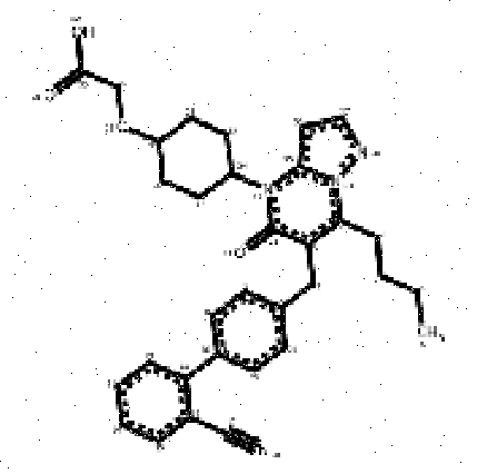 CCCCc1c(Cc2ccc(-c3ccccc3C#N)cc2)c(=O)n(C2CCC(OCC(=O)O)CC2)c2ccnn12